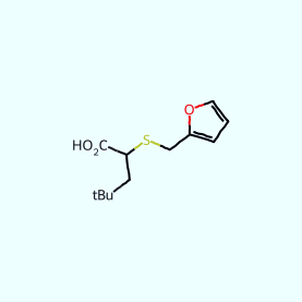 CC(C)(C)CC(SCc1ccco1)C(=O)O